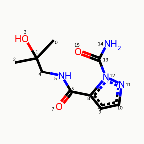 CC(C)(O)CNC(=O)c1[c]cnn1C(N)=O